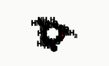 N=C(N)NCCC[C@@H]1NC(=O)CNC(=O)CNC(=O)[C@H](CCC(N)=O)NC(=O)[C@@H]2CCCN2C(=O)[C@H](CC2CNc3ccccc32)NC(=O)[C@H](CC(=O)O)NC(=O)CNC1=O